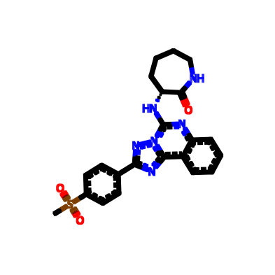 CS(=O)(=O)c1ccc(-c2nc3c4ccccc4nc(N[C@@H]4CCCCNC4=O)n3n2)cc1